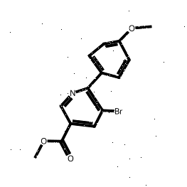 COC(=O)c1cnc(-c2ccc(OC)cc2)c(Br)c1